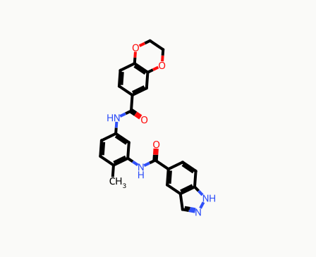 Cc1ccc(NC(=O)c2ccc3c(c2)OCCO3)cc1NC(=O)c1ccc2[nH]ncc2c1